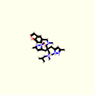 Cc1cc(CC(Cc2cc(C)nn2C)(CN(C)CC(C)C)C(=O)N(C)Cc2ccc3occc3c2)n(C)n1